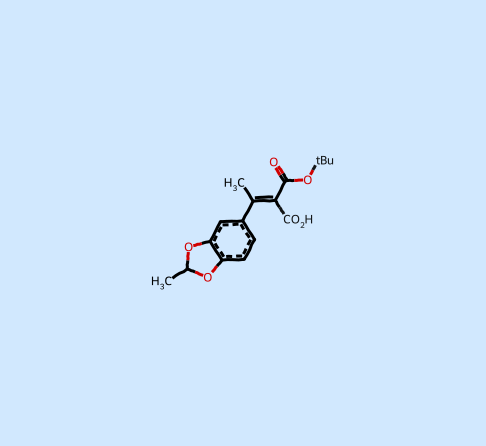 C/C(=C(/C(=O)O)C(=O)OC(C)(C)C)c1ccc2c(c1)OC(C)O2